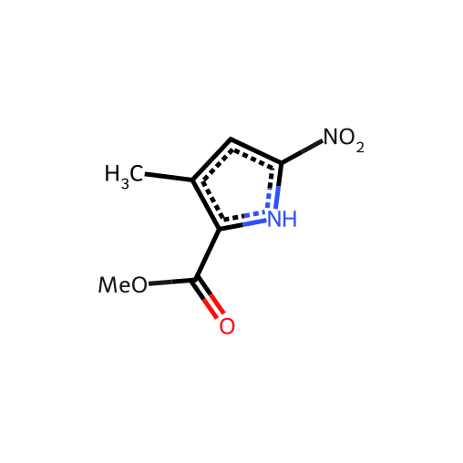 COC(=O)c1[nH]c([N+](=O)[O-])cc1C